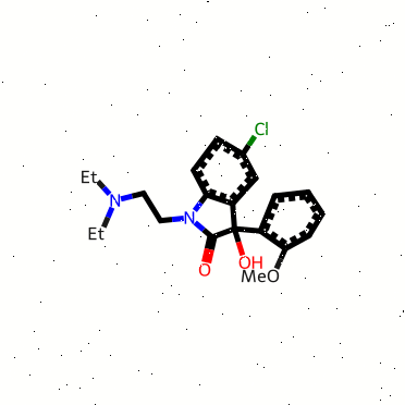 CCN(CC)CCN1C(=O)C(O)(c2ccccc2OC)c2cc(Cl)ccc21